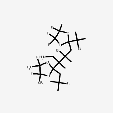 CCC(C)(C)CC1(C(C)(CN)C(C)(CC)CC2(C(C)(C)CC)OC(F)(F)C(F)(F)O2)OC(F)(C(F)(F)F)C(F)(C(F)(F)F)O1